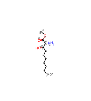 CCCCCCCCCCCCCCC[C@@H](O)[C@@H](N)C(=O)OC(C)C